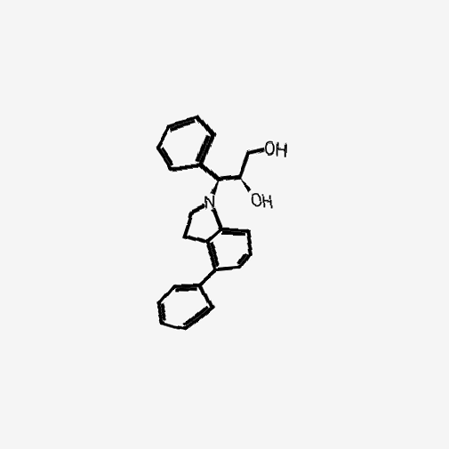 OC[C@@H](O)[C@H](c1ccccc1)N1CCc2c(-c3ccccc3)cccc21